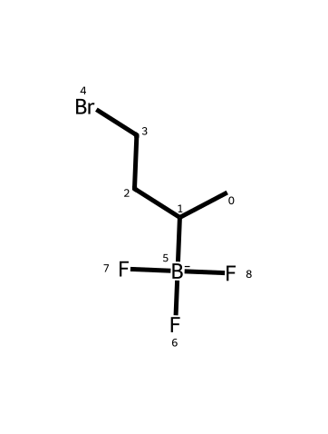 CC(CCBr)[B-](F)(F)F